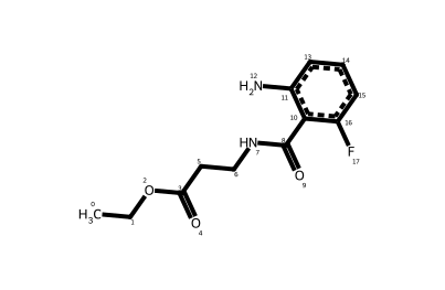 CCOC(=O)CCNC(=O)c1c(N)cccc1F